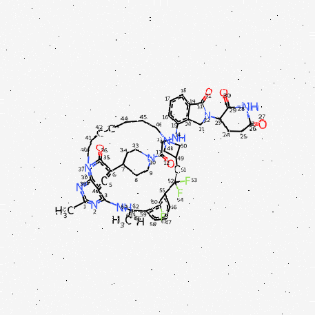 Cc1nc2c3cc(C4CCN(C(=O)CNc5cccc6c5CN(C5CCC(=O)NC5=O)C6=O)CC4)c(=O)n(c3n1)CCCCCCCN1CC(C1)CC(F)(F)c1cccc(c1F)[C@@H](C)N2